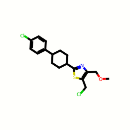 COCc1nc(C2CCC(c3ccc(Cl)cc3)CC2)sc1CCl